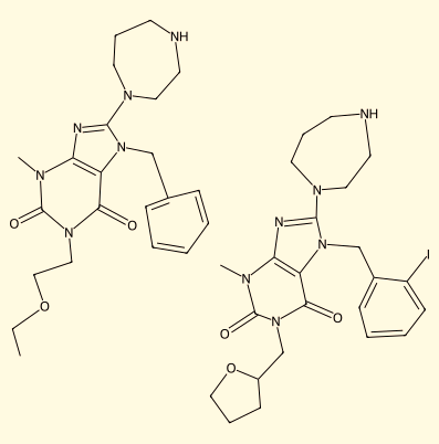 CCOCCn1c(=O)c2c(nc(N3CCCNCC3)n2Cc2ccccc2)n(C)c1=O.Cn1c(=O)n(CC2CCCO2)c(=O)c2c1nc(N1CCCNCC1)n2Cc1ccccc1I